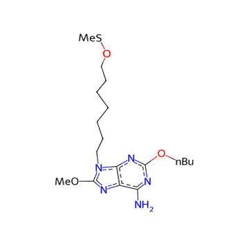 CCCCOc1nc(N)c2nc(OC)n(CCCCCCCOSC)c2n1